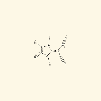 N#CC(C#N)=C1C(F)C(Br)=C(Br)C1F